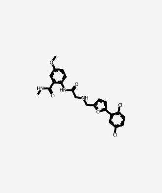 CNC(=O)c1cc(OC)ccc1NC(=O)CNCc1ccc(-c2cc(Cl)ccc2Cl)o1